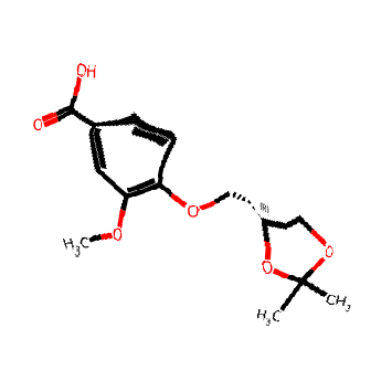 COc1cc(C(=O)O)ccc1OC[C@@H]1COC(C)(C)O1